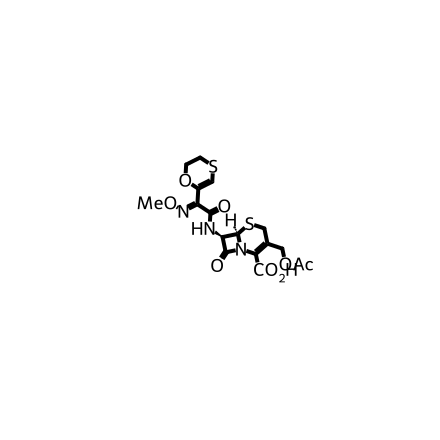 CON=C(C(=O)N[C@@H]1C(=O)N2C(C(=O)O)=C(COC(C)=O)CS[C@H]12)C1=CSCCO1